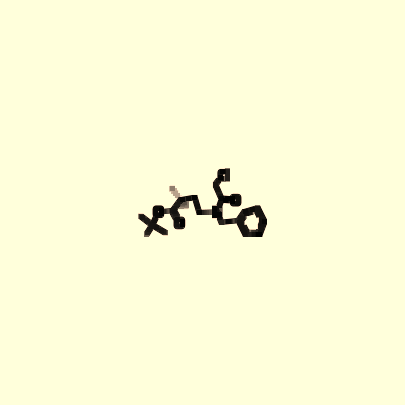 C[C@H](CCN(Cc1ccccc1)C(=O)CCl)C(=O)OC(C)(C)C